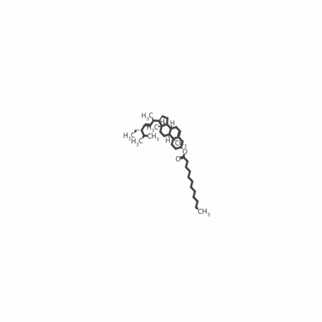 CCCCCCCCCCCC(=O)O[C@H]1CC[C@@]2(C)C(=CC[C@H]3[C@@H]4CC[C@H]([C@H](C)/C=C/[C@@H](CC)C(C)C)[C@@]4(C)CC[C@@H]32)C1